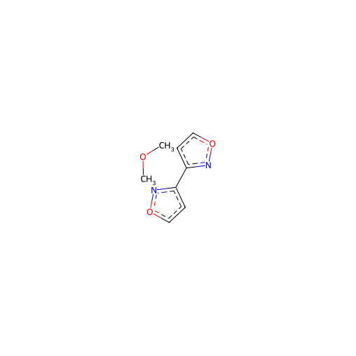 COC.c1cc(-c2ccon2)no1